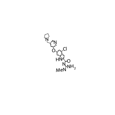 CNC(N)=NC(=O)c1cc2c(Cl)cc(Oc3cncc(CN4CCCC4)c3)cc2[nH]1